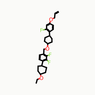 C=CCOc1ccc(C2CCC(OCc3ccc(C4CCC(OCC)CC4)c(F)c3F)CC2)c(F)c1